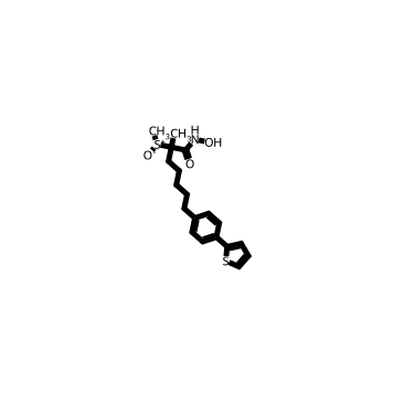 C[S+]([O-])C(C)(CCCCCc1ccc(-c2cccs2)cc1)C(=O)NO